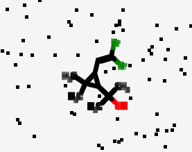 CC(C)(O)C1C(C=C(Br)Br)C1(C)C